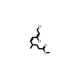 COC(=O)CCC(C)/C=C\C(Cl)=C/CCl